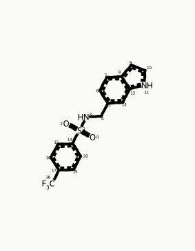 O=S(=O)(NCc1ccc2cc[nH]c2c1)c1ccc(C(F)(F)F)cc1